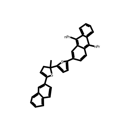 CCCc1c2ccccc2c(CCC)c2cc(-c3ccc(C4(C)CC=C(c5ccc6ccccc6c5)S4)s3)ccc12